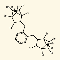 ClC1C(Cc2ccccc2CC2C(Cl)C3(Br)C(Br)=C(Br)C2(Br)C3(Br)Br)C2(Br)C(Br)=C(Br)C1(Br)C2(Br)Br